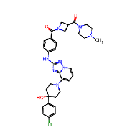 CN1CCN(C(=O)C2CN(C(=O)c3ccc(Nc4nc5c(N6CCC(O)(c7ccc(Cl)cc7)CC6)cccn5n4)cc3)C2)CC1